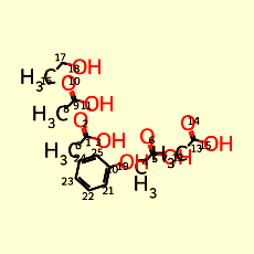 CC(=O)O.CC(=O)O.CC(=O)O.CC(=O)O.CCO.Oc1ccccc1